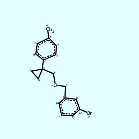 Cc1ccc(C2(COCc3cccc(Br)c3)CC2)cc1